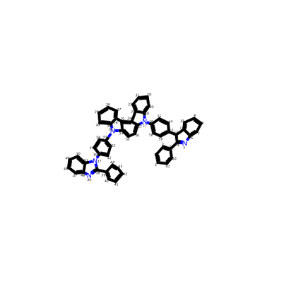 c1ccc(C2=Nc3ccccc3C2c2ccc(-n3c4ccccc4c4c5c6ccccc6n(-c6ccc(-n7c(-c8ccccc8)nc8ccccc87)cc6)c5ccc43)cc2)cc1